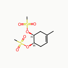 CC1=CC[C@@H](OS(C)(=O)=O)[C@@H](OS(C)(=O)=O)C1